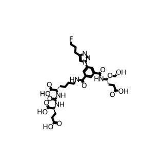 O=C(O)CC[C@H](NC(=O)c1cc(C(=O)NCCCC[C@H](NC(=O)N[C@@H](CCC(=O)O)C(=O)O)C(=O)O)cc(-n2cc(CCCF)nn2)c1)OCO